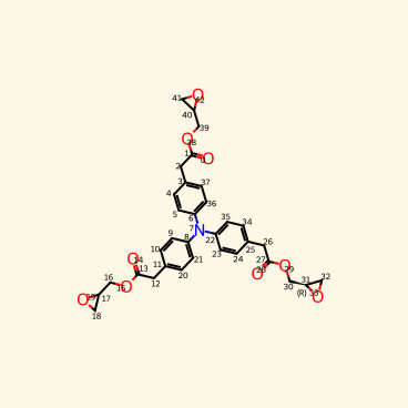 O=C(Cc1ccc(N(c2ccc(CC(=O)OCC3CO3)cc2)c2ccc(CC(=O)OC[C@H]3CO3)cc2)cc1)OCC1CO1